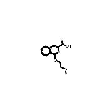 COCCOc1nc(C(=O)O)cc2ccccc12